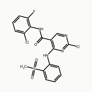 CS(=O)(=O)c1ccccc1Nc1nc(Cl)ncc1C(=O)Nc1c(F)cccc1Cl